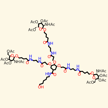 CC(=O)N[C@H]1[C@H](OCCCCC(=O)NCCCNC(=O)CCOC2[C@H](OCCC(=O)NCCCNC(=O)CCCCO[C@@H]3O[C@H](COC(C)=O)[C@H](OC(C)=O)[C@H](OC(C)=O)[C@H]3NC(C)=O)CC(C(=O)NCCCCCCO)C[C@H]2OCCC(=O)NCCCNC(=O)CCCCO[C@@H]2O[C@H](COC(C)=O)[C@H](OC(C)=O)[C@H](OC(C)=O)[C@H]2NC(C)=O)O[C@H](COC(C)=O)[C@H](OC(C)=O)[C@@H]1OC(C)=O